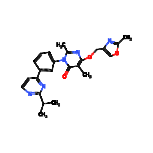 Cc1nc(COc2nc(C)n(-c3cccc(-c4ccnc(C(C)C)n4)c3)c(=O)c2C)co1